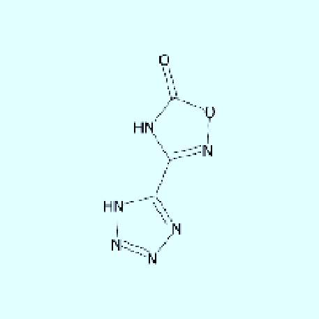 O=c1[nH]c(-c2nnn[nH]2)no1